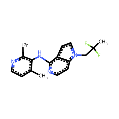 Cc1ccnc(C(C)C)c1Nc1nccc2c1ccn2CC(C)(F)F